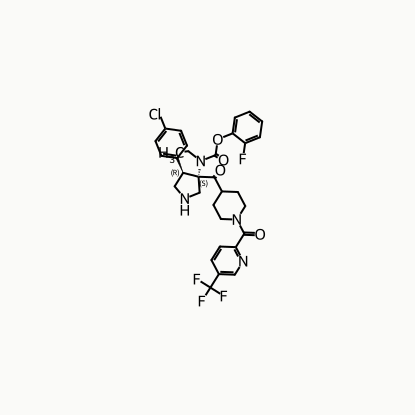 CCN(C(=O)Oc1ccccc1F)[C@]1(C(=O)C2CCN(C(=O)c3ccc(C(F)(F)F)cn3)CC2)CNC[C@H]1c1ccc(Cl)cc1